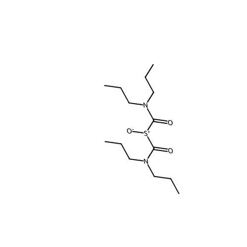 CCCN(CCC)C(=O)[S+]([O-])C(=O)N(CCC)CCC